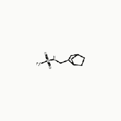 O=S(=O)(NCC1CC2CCC1C2)C(F)(F)F